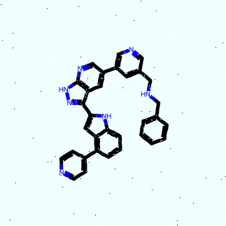 c1ccc(CNCc2cncc(-c3cnc4[nH]nc(-c5cc6c(-c7ccncc7)cccc6[nH]5)c4c3)c2)cc1